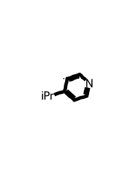 CC(C)c1[c]cncc1